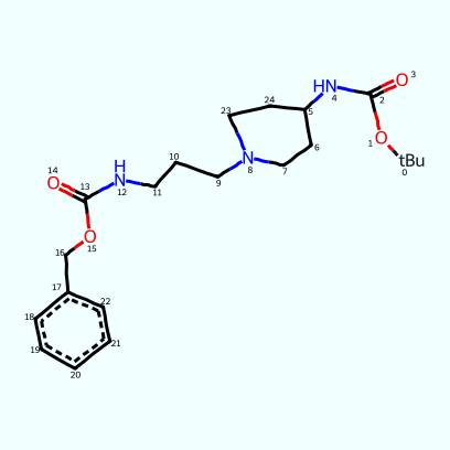 CC(C)(C)OC(=O)NC1CCN(CCCNC(=O)OCc2ccccc2)CC1